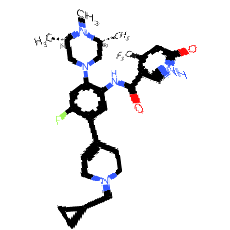 C[C@@H]1CN(c2cc(F)c(C3=CCN(CC4CC4)CC3)cc2NC(=O)c2c[nH]c(=O)cc2C(F)(F)F)C[C@H](C)N1C